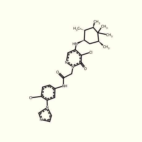 C[C@@H]1[C@@H](C)C(C)(C)[C@@H](C)C[C@H]1Nc1cnn(CC(=O)Nc2ccc(Cl)c(-n3ccnc3)c2)c(=O)c1Cl